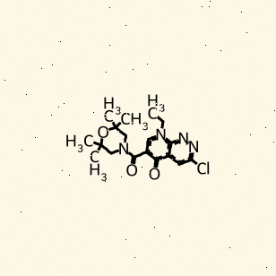 CCn1cc(C(=O)N2CC(C)(C)OC(C)(C)C2)c(=O)c2cc(Cl)nnc21